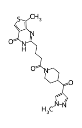 Cc1scc2c(=O)[nH]c(CCCC(=O)N3CCC(C(=O)c4cnn(C)c4)CC3)nc12